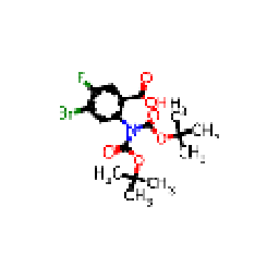 CC(C)(C)OC(=O)N(C(=O)OC(C)(C)C)c1cc(Br)c(F)cc1C(=O)O